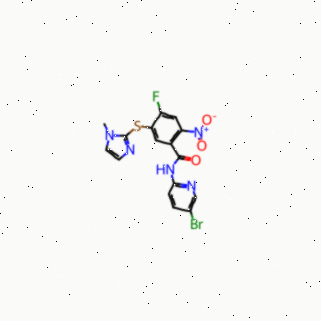 Cn1ccnc1Sc1cc(C(=O)Nc2ccc(Br)cn2)c([N+](=O)[O-])cc1F